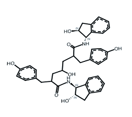 O=C(N[C@H]1c2ccccc2C[C@@H]1O)C(Cc1ccc(O)cc1)CC(O)CC(Cc1ccc(O)cc1)C(=O)N[C@H]1c2ccccc2C[C@@H]1O